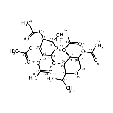 CC(=O)O[C@@H]1[C@@H](OC(C)=O)[C@H](C)O[C@@H](O[C@H]2C(C(C)C)OC[C@H](OC(C)=O)[C@@H]2OC(C)=O)[C@@H]1OC(C)=O